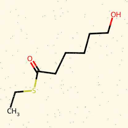 CCSC(=O)CCCCCO